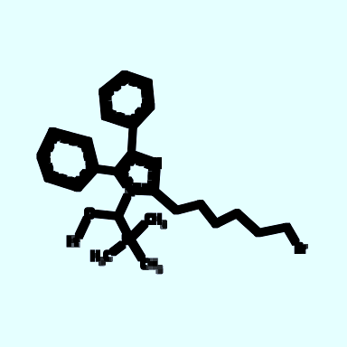 CCOC(n1c(CCCCCCBr)nc(-c2ccccc2)c1-c1ccccc1)[Si](C)(C)C